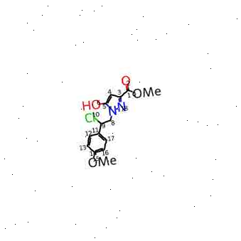 COC(=O)c1cc(O)n(CC(Cl)c2ccc(OC)cc2)n1